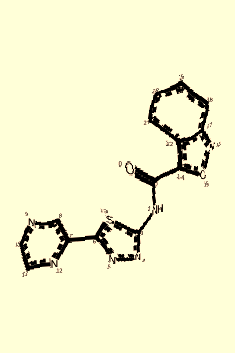 O=C(Nc1nnc(-c2cnccn2)s1)c1onc2ccccc12